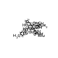 Cc1ccc(S(=O)(=O)CNC(=O)C(O)C(CC2CCC2)NC(=O)[C@@H]2[C@@H]3[C@H](CN2C(=O)[C@@H](NC(=O)NC(C)(C)C)C(C)(C)C)C3(C)C)cc1